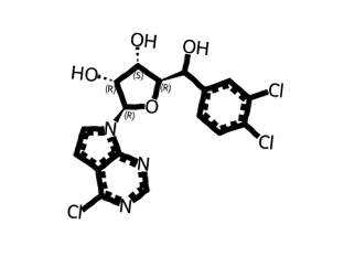 OC(c1ccc(Cl)c(Cl)c1)[C@H]1O[C@@H](n2ccc3c(Cl)ncnc32)[C@H](O)[C@@H]1O